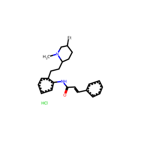 CCC1CCC(CCc2ccccc2NC(=O)C=Cc2ccccc2)N(C)C1.Cl